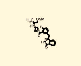 COCC(C)NC1CN(C(=O)c2cc(Cc3n[nH]c(=O)c4ccccc34)ccc2F)C1